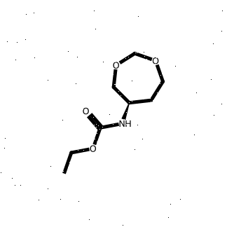 CCOC(=O)N[C@@H]1CCOCOC1